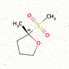 C[C@]1(S(C)(=O)=O)CCCO1